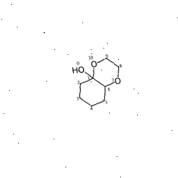 OC12CCCCC1OCCO2